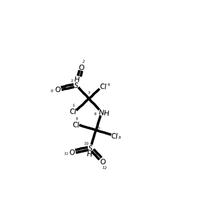 O=[SH](=O)C(Cl)(Cl)NC(Cl)(Cl)[SH](=O)=O